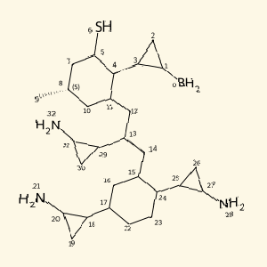 BC1CC1C1C(S)C[C@@H](C)CC1CC(CC1CC(C2CC2N)CCC1C1CC1N)C1CC1N